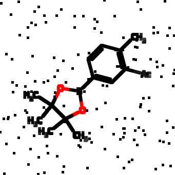 CC(=O)c1cc(B2OC(C)(C)C(C)(C)O2)ccc1C